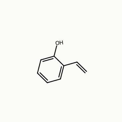 C=Cc1ccccc1O